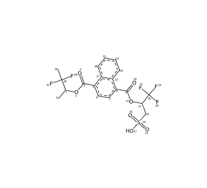 CC(OC(=O)c1ccc(C(=O)OC(CS(=O)(=O)O)C(F)(F)F)c2ccccc12)C(C)(F)F